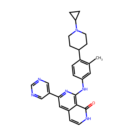 Cc1cc(Nc2nc(-c3cncnc3)cc3cc[nH]c(=O)c23)ccc1C1CCN(C2CC2)CC1